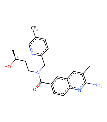 Cc1cc2cc(C(=O)N(CC[C@H](C)O)Cc3ccc(C(F)(F)F)cn3)ccc2nc1N